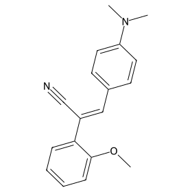 COc1ccccc1C(C#N)=Cc1ccc(N(C)C)cc1